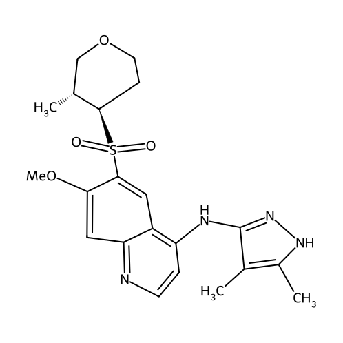 COc1cc2nccc(Nc3n[nH]c(C)c3C)c2cc1S(=O)(=O)[C@@H]1CCOC[C@H]1C